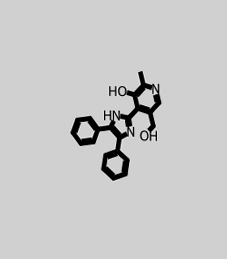 Cc1ncc(CO)c(-c2nc(-c3ccccc3)c(-c3ccccc3)[nH]2)c1O